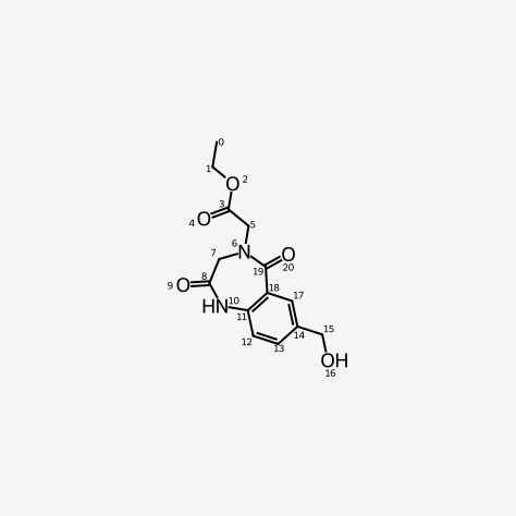 CCOC(=O)CN1CC(=O)Nc2ccc(CO)cc2C1=O